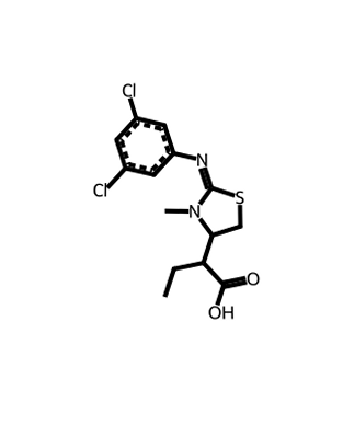 CCC(C(=O)O)C1CSC(=Nc2cc(Cl)cc(Cl)c2)N1C